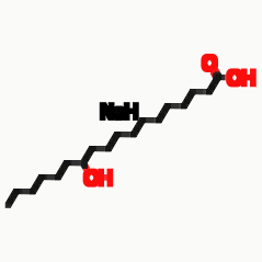 CCCCCCC(O)CCCCCCCCCCC(=O)O.[NaH]